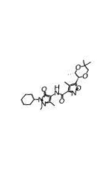 Cc1c(C(=O)Nc2c(C)n(C)n(C3CCCCC3)c2=O)noc1[C@@H]1OCC(C)(C)O[C@H]1C